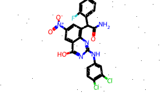 NC(=O)C(c1ccccc1F)c1cc([N+](=O)[O-])cc2c(O)nc(Nc3ccc(Cl)c(Cl)c3)nc12